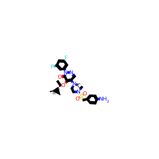 CC(Oc1c(N2CCN(S(=O)(=O)Cc3ccc(N)cc3)CC2)cnn(-c2cc(F)cc(F)c2)c1=O)[C@@H]1C[C@H]1C